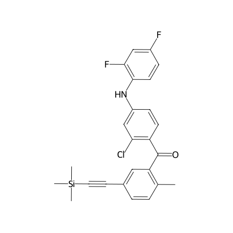 Cc1ccc(C#C[Si](C)(C)C)cc1C(=O)c1ccc(Nc2ccc(F)cc2F)cc1Cl